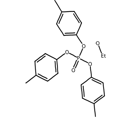 CC[O].Cc1ccc(OP(=O)(Oc2ccc(C)cc2)Oc2ccc(C)cc2)cc1